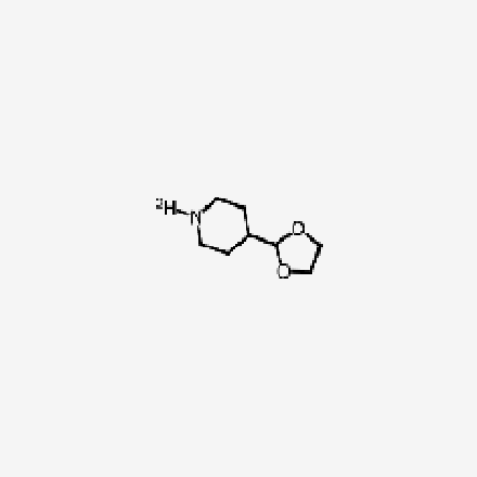 [2H]N1CCC(C2OCCO2)CC1